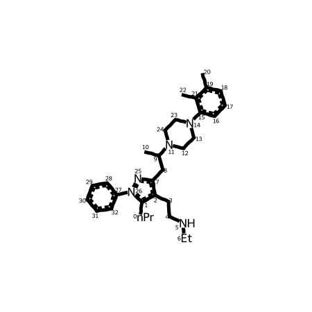 CCCc1c(CCNCC)c(CC(C)N2CCN(c3cccc(C)c3C)CC2)nn1-c1ccccc1